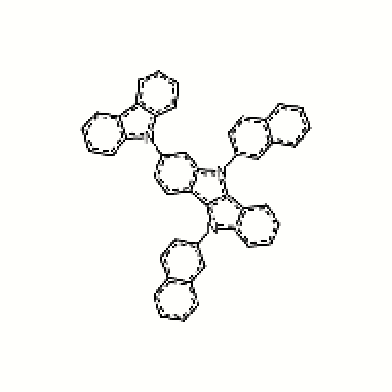 c1ccc2cc(-n3c4ccccc4c4c3c3ccc(-n5c6ccccc6c6ccccc65)cc3n4-c3ccc4ccccc4c3)ccc2c1